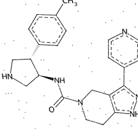 Cc1ccc([C@H]2CNC[C@@H]2NC(=O)N2CCc3[nH]nc(-c4ccncc4)c3C2)cc1